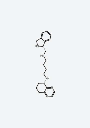 c1ccc2c(c1)CN[C@H]2CNCCCCN[C@H]1CCCc2cccnc21